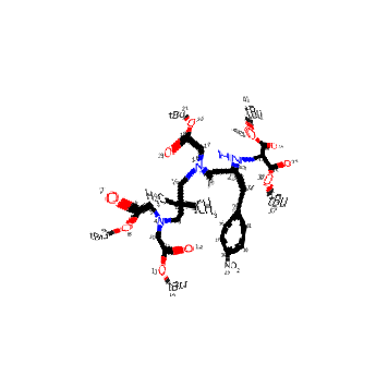 CC(C)(CN(CC(=O)OC(C)(C)C)CC(=O)OC(C)(C)C)CN(CC(=O)OC(C)(C)C)CC(Cc1ccc([N+](=O)[O-])cc1)NC(C(=O)OC(C)(C)C)C(=O)OC(C)(C)C